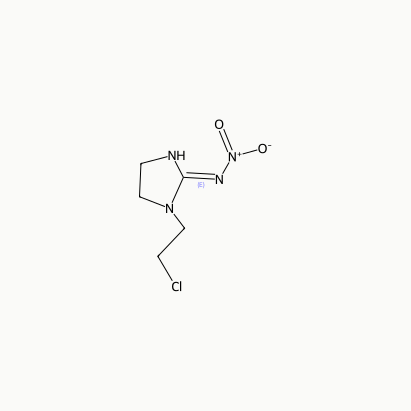 O=[N+]([O-])/N=C1\NCCN1CCCl